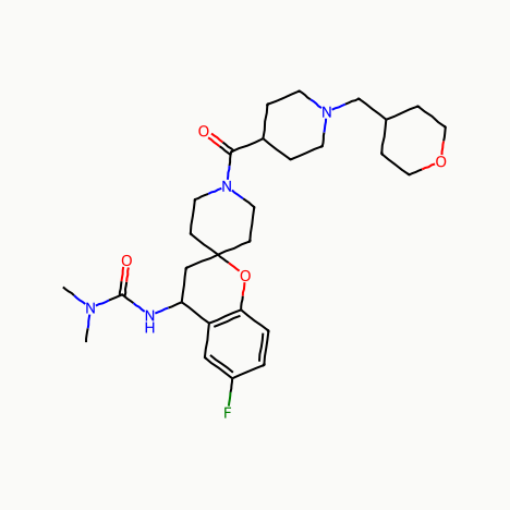 CN(C)C(=O)NC1CC2(CCN(C(=O)C3CCN(CC4CCOCC4)CC3)CC2)Oc2ccc(F)cc21